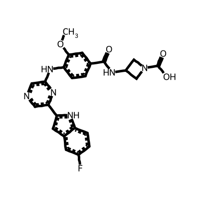 COc1cc(C(=O)NC2CN(C(=O)O)C2)ccc1Nc1cncc(-c2cc3cc(F)ccc3[nH]2)n1